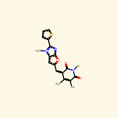 CCN1C(=O)C(C#N)=C(C)/C(=C/c2cc3c(nc(-c4cccs4)n3C)o2)C1=O